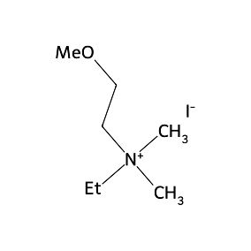 CC[N+](C)(C)CCOC.[I-]